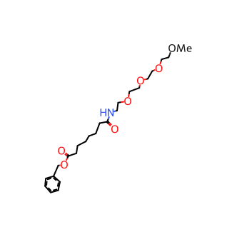 COCCOCCOCCOCCNC(=O)CCCCCCC(=O)OCc1ccccc1